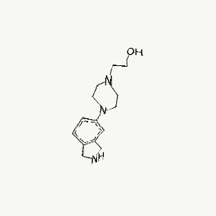 OCCN1CCN(c2ccc3c(c2)CNC3)CC1